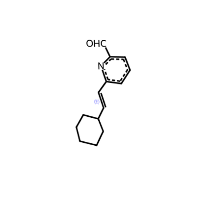 O=Cc1cccc(/C=C/C2CCCCC2)n1